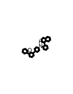 c1ccc(-c2cccc3ccccc23)c(Nc2ccc(-c3cccc4c3oc3ccccc34)cc2)c1